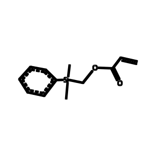 C=CC(=O)OC[Si](C)(C)c1ccccc1